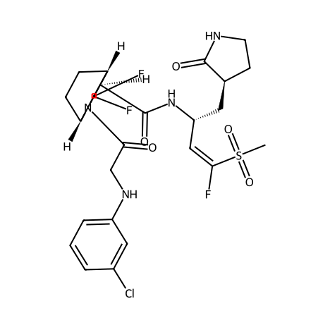 CS(=O)(=O)/C(F)=C\[C@@H](C[C@@H]1CCNC1=O)NC(=O)[C@@H]1[C@H]2CC[C@H](CC2(F)F)N1C(=O)CNc1cccc(Cl)c1